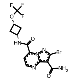 NC(=O)c1c(Br)nn2c(C(=O)N[C@H]3C[C@@H](OC(F)(F)F)C3)ccnc12